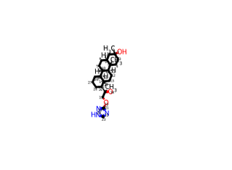 C[C@@]1(O)CC[C@@]2(C)[C@@H](CC[C@@H]3[C@@H]2CC[C@]2(C)[C@@H](C(=O)COc4nc[nH]n4)CCC[C@@H]32)C1